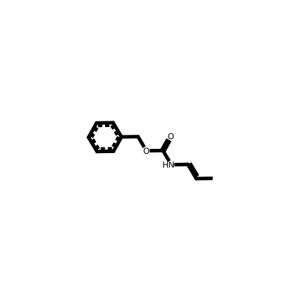 CC=CNC(=O)OCc1ccccc1